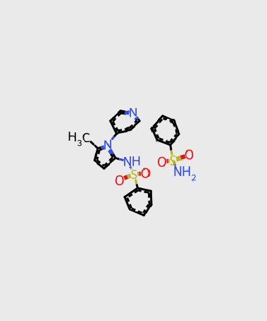 Cc1ccc(NS(=O)(=O)c2ccccc2)n1-c1ccncc1.NS(=O)(=O)c1ccccc1